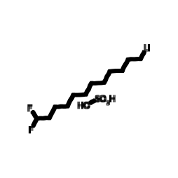 O=S(=O)(O)O.[Li][CH2]CCCCCCCCCCC(F)F